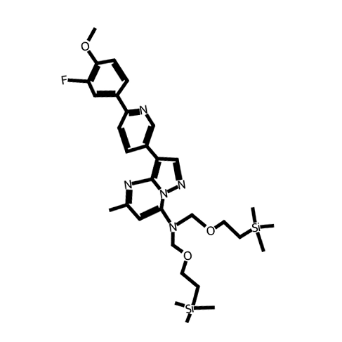 COc1ccc(-c2ccc(-c3cnn4c(N(COCC[Si](C)(C)C)COCC[Si](C)(C)C)cc(C)nc34)cn2)cc1F